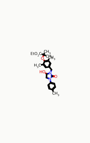 CCOC(=O)C(C)(C)Oc1c(C)cc(CN2C(=O)N(c3ccc(C)cc3)CC2O)cc1C